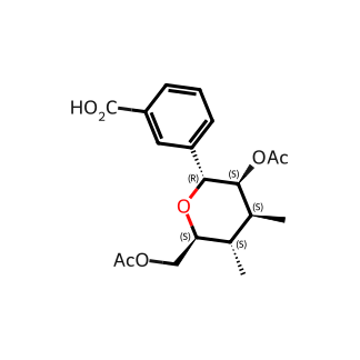 CC(=O)OC[C@H]1O[C@H](c2cccc(C(=O)O)c2)[C@@H](OC(C)=O)[C@@H](C)[C@@H]1C